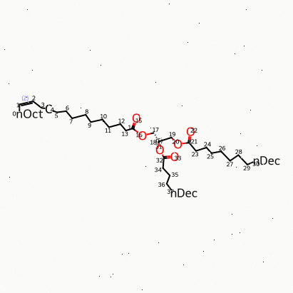 CCCCCCCC/C=C\CCCCCCCCCCCC(=O)OC[C@H](COC(=O)CCCCCCCCCCCCCCCCC)OC(=O)CCCCCCCCCCCCC